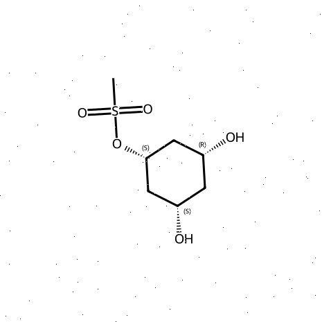 CS(=O)(=O)O[C@@H]1C[C@H](O)C[C@H](O)C1